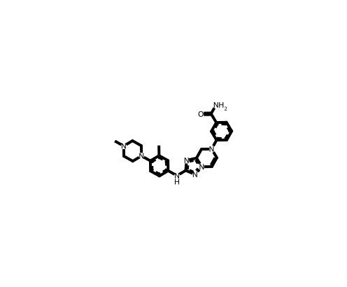 Cc1cc(Nc2nc3n(n2)C=CN(c2cccc(C(N)=O)c2)C3)ccc1N1CCN(C)CC1